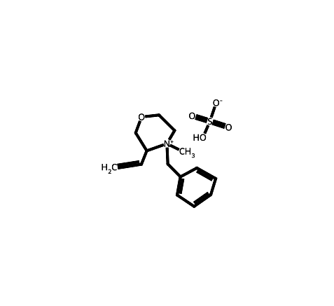 C=CC1COCC[N+]1(C)Cc1ccccc1.O=S(=O)([O-])O